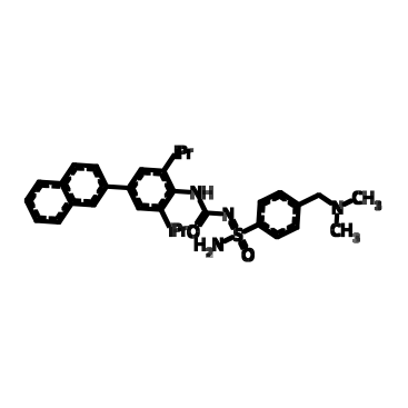 CC(C)c1cc(-c2ccc3ccccc3c2)cc(C(C)C)c1NC(=O)N=S(N)(=O)c1ccc(CN(C)C)cc1